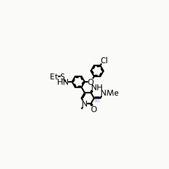 CCSNc1ccc(Oc2ccc(Cl)cc2)c(C2=CN(C)C(=O)/C(=C/NC)C2=N)c1